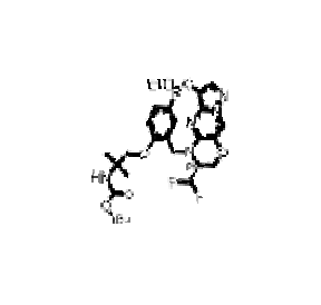 CCOC(=O)c1cnn2cc3c(nc12)N(Cc1cc(F)ccc1OCC(C)(C)NC(=O)OC(C)(C)C)[C@H](C(F)F)CO3